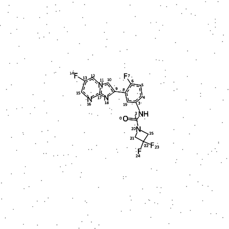 O=C(Nc1ccc(F)c(-c2cn3cc(F)cnc3n2)c1)N1CC(F)(F)C1